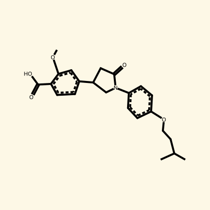 COc1cc(C2CC(=O)N(c3ccc(OCCC(C)C)cc3)C2)ccc1C(=O)O